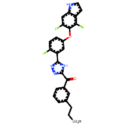 O=C(O)CCc1cccc(C(=O)c2nnc(-c3cc(Oc4c(F)cc5[nH]ccc5c4F)ccc3F)[nH]2)c1